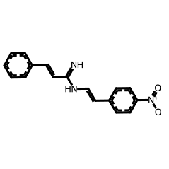 N=C(/C=C/c1ccccc1)NC=Cc1ccc([N+](=O)[O-])cc1